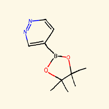 CC1(C)OB(c2ccnnc2)OC1(C)C